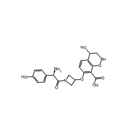 N[C@@H](C(=O)N1CC(Oc2ccc3c(c2C(=O)O)OBCC3O)C1)c1ccc(O)cc1